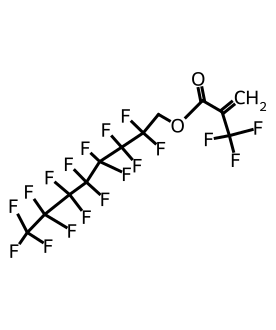 C=C(C(=O)OCC(F)(F)C(F)(F)C(F)(F)C(F)(F)C(F)(F)C(F)(F)C(F)(F)F)C(F)(F)F